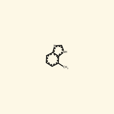 Cc1cc[c]c2nc[nH]c12